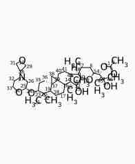 CC(=O)O[C@@H](C1C[C@@H](C)[C@H]2C(O1)[C@@H](O)[C@@]1(C)C3CCC4C(C)(C)[C@@H](O[C@H]5CN(C6COC6)CCO5)CC[C@@]45CC35CC[C@]21C)C(C)(C)O